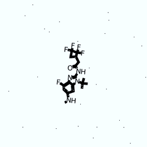 CNc1cc(F)c2nc(NC(=O)CC3CC(F)(F)C3(F)F)n(C(C)(C)C)c2c1